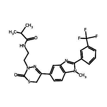 CC(C)C(=O)NCCN1N=C(c2ccc3c(c2)nc(-c2cccc(C(F)(F)F)c2)n3C)CSC1=O